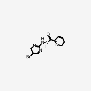 O=C(NNC1=NCC(Br)C=N1)C1=NCCC=C1